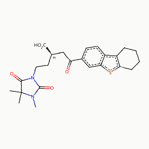 CN1C(=O)N(CC[C@H](CC(=O)c2ccc3c4c(sc3c2)CCCC4)C(=O)O)C(=O)C1(C)C